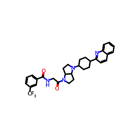 O=C(NCC(=O)N1CCC2C1CCN2C1CCC(c2ccc3ccccc3n2)CC1)c1cccc(C(F)(F)F)c1